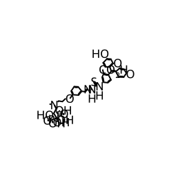 CN(CCCOc1cccc(/C=N/NC(=S)Nc2ccc(-c3c4ccc(=O)cc-4oc4cc(O)ccc34)c(C(=O)O)c2)c1)CCC(O)(P(=O)(O)O)P(=O)(O)O